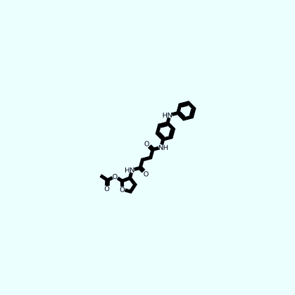 CC(=O)OC1OCCC1NC(=O)CCC(=O)Nc1ccc(Nc2ccccc2)cc1